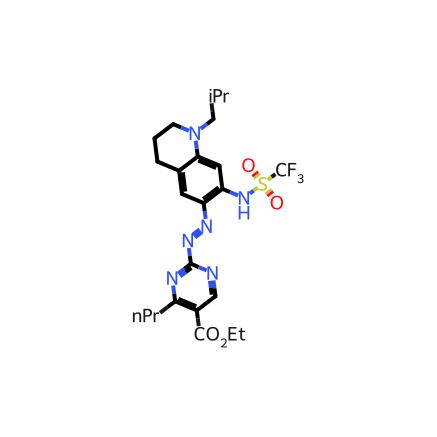 CCCc1nc(N=Nc2cc3c(cc2NS(=O)(=O)C(F)(F)F)N(CC(C)C)CCC3)ncc1C(=O)OCC